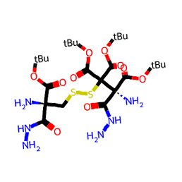 CC(C)(C)OC(=O)C(SSC[C@](N)(C(=O)NN)C(=O)OC(C)(C)C)(C(=O)OC(C)(C)C)[C@](N)(C(=O)NN)C(=O)OC(C)(C)C